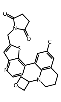 O=C1CCC(=O)N1Cc1cc2nccc(-c3cc(Cl)cc4c3N(C3COC3)CCC4)c2s1